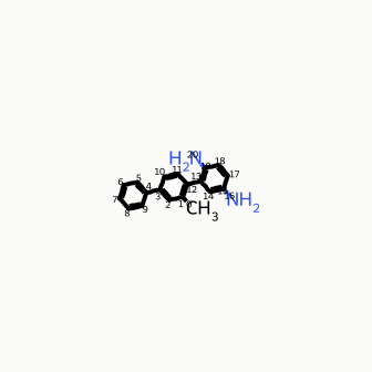 Cc1cc(-c2ccccc2)ccc1-c1cc(N)ccc1N